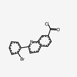 O=C(Cl)c1ccc2ccc(-c3ccccc3Br)nc2c1